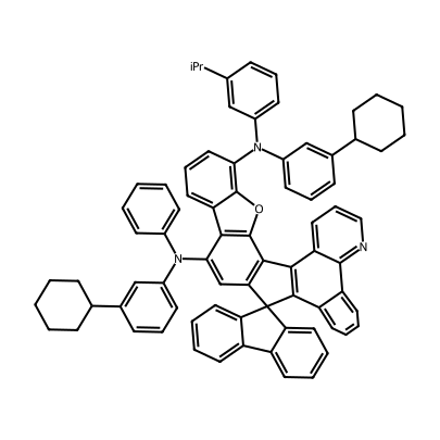 CC(C)c1cccc(N(c2cccc(C3CCCCC3)c2)c2cccc3c2oc2c4c(cc(N(c5ccccc5)c5cccc(C6CCCCC6)c5)c23)C2(c3ccccc3-c3ccccc32)c2c-4c3cccnc3c3ccccc23)c1